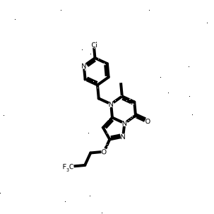 Cc1cc(=O)n2nc(OCCC(F)(F)F)cc2n1Cc1ccc(Cl)nc1